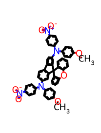 COc1ccc(N(c2ccc([N+](=O)[O-])cc2)c2ccc3c(c2)C2(c4ccccc4Oc4ccccc42)c2cc(N(c4ccc(OC)cc4)c4ccc([N+](=O)[O-])cc4)ccc2-3)cc1